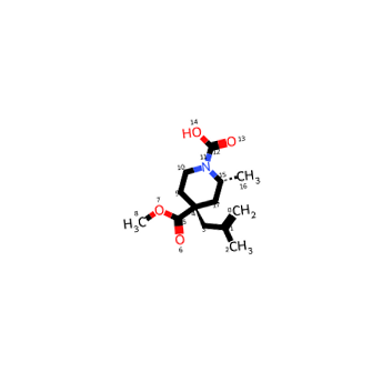 C=C(C)C[C@@]1(C(=O)OC)CCN(C(=O)O)[C@H](C)C1